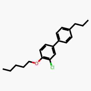 CCCCCOc1ccc(-c2ccc(CCC)cc2)cc1Cl